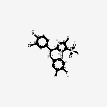 Cc1cc(NC(c2ccc(F)c(Cl)c2)c2nc(C)c(S(C)(=O)=O)[nH]2)ccc1F